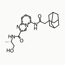 C[C@@H](CO)NC(=O)c1cn2c(NC(=O)CC34CC5CC(CC(C5)C3)C4)cccc2n1